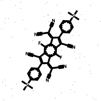 C[Si](C)(C)c1ccc(C2=C(C#N)c3c(F)c4c(c(F)c3C2=C(C#N)C#N)C(C#N)=C(c2ccc([Si](C)(C)C)cc2)C4=C(C#N)C#N)cc1